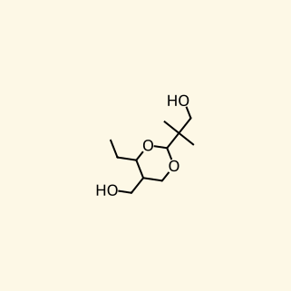 CCC1OC(C(C)(C)CO)OCC1CO